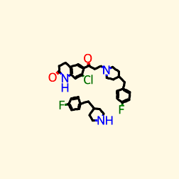 Fc1ccc(CC2CCNCC2)cc1.O=C1CCc2cc(C(=O)CCN3CCC(Cc4ccc(F)cc4)CC3)c(Cl)cc2N1